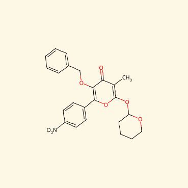 Cc1c(OC2CCCCO2)oc(-c2ccc([N+](=O)[O-])cc2)c(OCc2ccccc2)c1=O